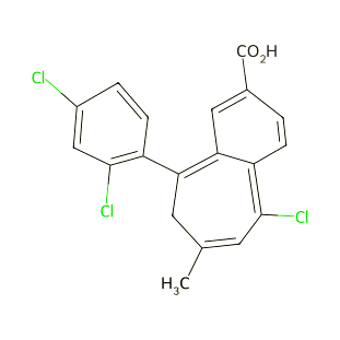 CC1=CC(Cl)=c2ccc(C(=O)O)cc2=C(c2ccc(Cl)cc2Cl)C1